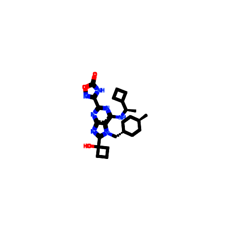 C[C@@H](Nc1nc(-c2noc(=O)[nH]2)nc2nc(C3(O)CCC3)n(C[C@H]3CC[C@H](C)CC3)c12)C1CCC1